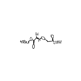 COC(=O)CO/N=C(\C(C)=O)C(=O)OC(C)(C)C